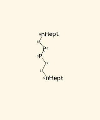 CCCCCCCCC[P][P]CCCCCCCC